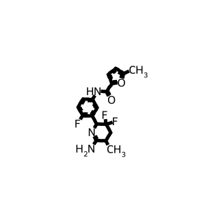 Cc1ccc(C(=O)Nc2ccc(F)c(C3N=C(N)C(C)CC3(F)F)c2)o1